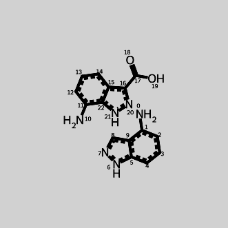 Nc1cccc2[nH]ncc12.Nc1cccc2c(C(=O)O)n[nH]c12